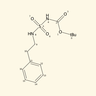 CC(C)(C)OC(=O)NS(=O)(=O)NCCc1ccccc1